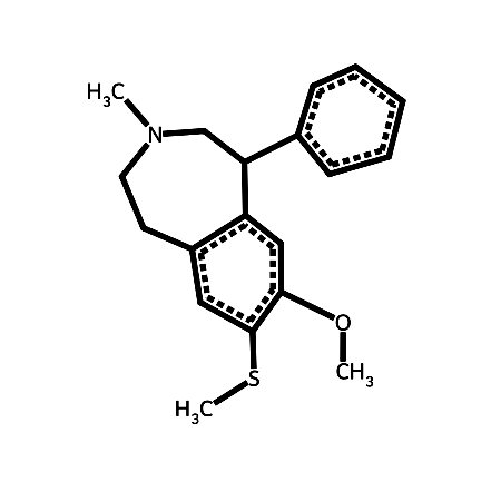 COc1cc2c(cc1SC)CCN(C)CC2c1ccccc1